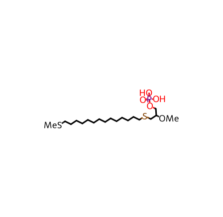 COC(COP(=O)(O)O)CSCCCCCCCCCCCCCCSC